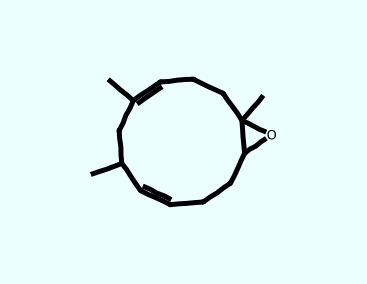 CC1=CCCC2(C)OC2CCC=CC(C)C1